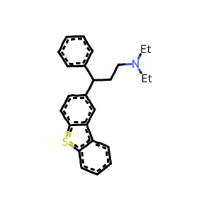 CCN(CC)CCC(c1ccccc1)c1ccc2sc3ccccc3c2c1